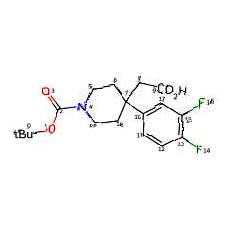 CC(C)(C)OC(=O)N1CCC(CC(=O)O)(c2ccc(F)c(F)c2)CC1